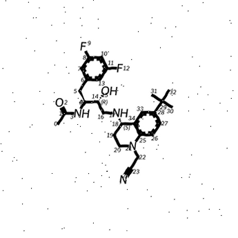 CC(=O)N[C@@H](Cc1cc(F)cc(F)c1)[C@H](O)CN[C@H]1CCN(CC#N)c2ccc(C(C)(C)C)cc21